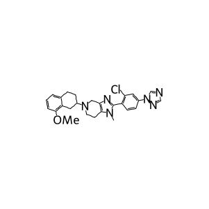 COc1cccc2c1CC(N1CCc3c(nc(-c4ccc(-n5cncn5)cc4Cl)n3C)C1)CC2